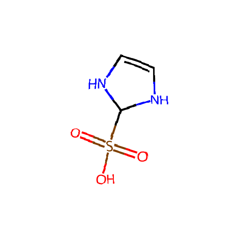 O=S(=O)(O)C1NC=CN1